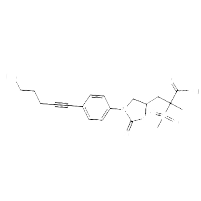 CC(CC1CN(c2ccc(C#CCCCO)cc2)C(=O)O1)(C(=O)O)S(C)(=O)=O